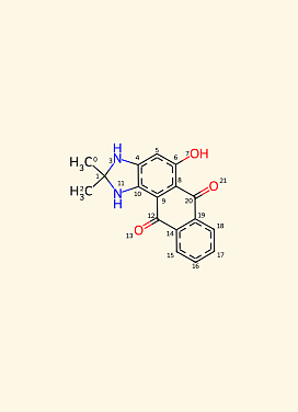 CC1(C)Nc2cc(O)c3c(c2N1)C(=O)c1ccccc1C3=O